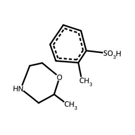 CC1CNCCO1.Cc1ccccc1S(=O)(=O)O